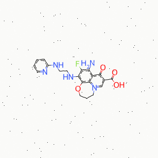 Nc1c(F)c(NCCNc2ccccn2)c2c3c1c(=O)c(C(=O)O)cn3CCCO2